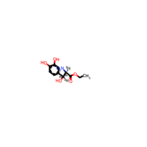 [2H][C@](N)(C(=O)OCC)[C@]([2H])(O)c1ccc(O)c(O)c1